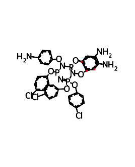 Nc1ccc(ON2P(Oc3ccc(Cl)cc3)N=P(Oc3ccc(Cl)cc3)(Oc3ccc(Cl)cc3)N(Oc3ccc(N)cc3)P2Oc2ccc(N)cc2)cc1